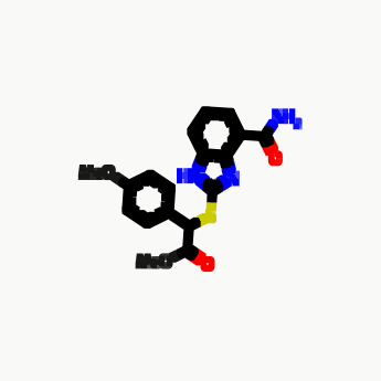 COC(=O)C(Sc1nc2c(C(N)=O)cccc2[nH]1)c1ccc(OC)cc1